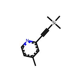 Cc1ccnc(C#C[Si](C)(C)C)c1